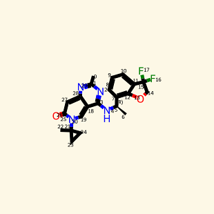 Cc1nc(N[C@H](C)c2cccc3c2OCC3(F)F)c2cn(C3(C)CC3)c(=O)cc2n1